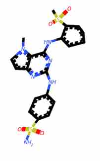 Cn1ccc2nc(Nc3ccc(S(N)(=O)=O)cc3)nc(Nc3ccccc3S(C)(=O)=O)c21